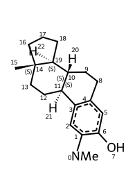 CNc1cc2c(cc1O)CC[C@@H]1[C@@H]2CC[C@]2(C)CCC[C@@H]12